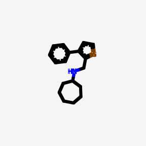 c1ccc(-c2ccsc2CNC2CCCCCC2)cc1